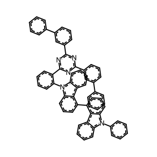 c1ccc(-c2cccc(-c3nc(-c4cccc(-c5ccccc5)c4)nc(-c4ccccc4-n4c5ccccc5c5c(-c6cccc7c6c6ccccc6n7-c6ccccc6)cccc54)n3)c2)cc1